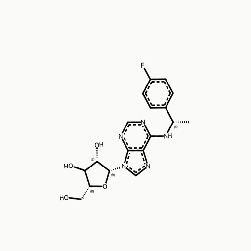 C[C@H](Nc1ncnc2c1ncn2[C@@H]1O[C@H](CO)C(O)[C@@H]1O)c1ccc(F)cc1